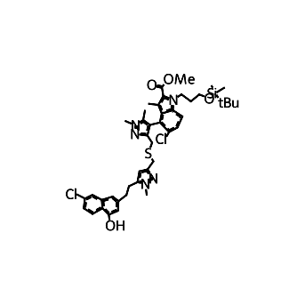 COC(=O)c1c(C)c2c(-c3c(CSCc4cc(CCc5cc(O)c6ccc(Cl)cc6c5)n(C)n4)nn(C)c3C)c(Cl)ccc2n1CCCO[Si](C)(C)C(C)(C)C